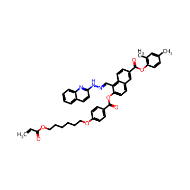 C=CC(=O)OCCCCCCOc1ccc(C(=O)Oc2ccc3cc(C(=O)Oc4ccc(C)cc4C)ccc3c2/C=N/Nc2ccc3ccccc3n2)cc1